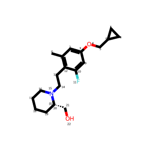 Cc1cc(OCC2CC2)cc(F)c1CCN1CCCC[C@H]1CO